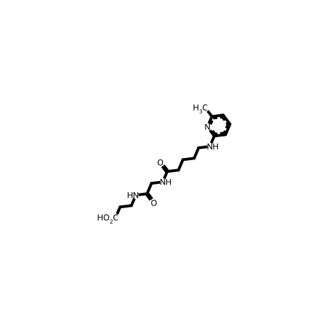 Cc1cccc(NCCCCC(=O)NCC(=O)NCCC(=O)O)n1